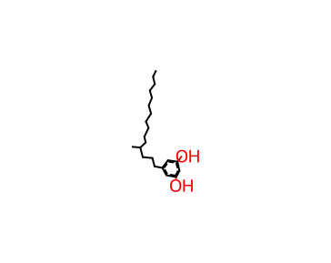 CCCCCCCCCCCC(C)CCCc1cc(O)cc(O)c1